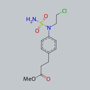 COC(=O)CCc1ccc(N(CCCl)S(N)(=O)=O)cc1